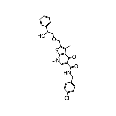 Cc1c(COC[C@@H](O)c2ccccc2)sc2c1c(=O)c(C(=O)NCc1ccc(Cl)cc1)cn2C